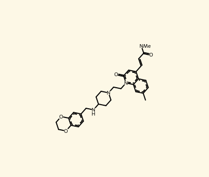 CNC(=O)/C=C/c1cc(=O)n(CCN2CCC(NCc3ccc4c(c3)OCCO4)CC2)c2cc(C)ccc12